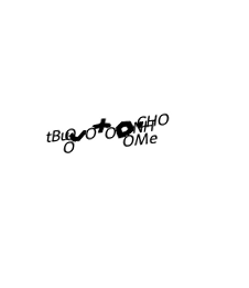 COc1cc(OCC(C)(C)COCCC(=O)OC(C)(C)C)ccc1NC=O